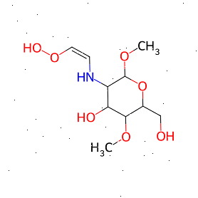 COC1OC(CO)C(OC)C(O)C1N/C=C\OO